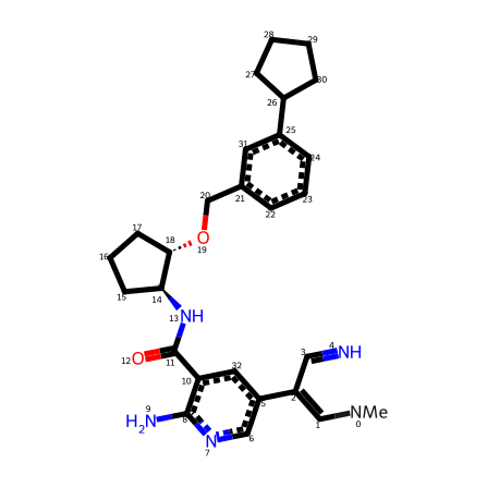 CN/C=C(\C=N)c1cnc(N)c(C(=O)N[C@H]2CCC[C@@H]2OCc2cccc(C3CCCC3)c2)c1